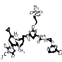 C=C(/C=C(\c1nc(COc2cc(NC(=O)[C@H]3C[C@@H]3c3nccc(C)n3)nc(OCCOS(C)(=O)=O)n2)cn1C)N1CC(=O)N(C)C1=O)C1CC1